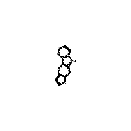 c1cc2[nH]c3cc4sccc4cc3c2cn1